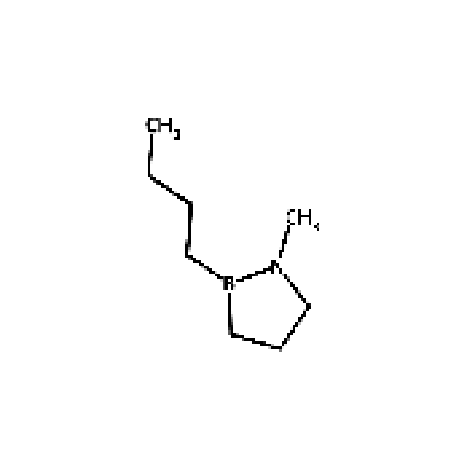 CCCCB1CCCN1C